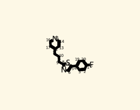 Fc1ccc(-c2cnc(CCCc3ccncc3)s2)cc1